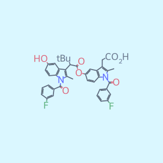 Cc1c(CC(=O)O)c2cc(OC(=O)C(c3c(C)n(C(=O)c4cccc(F)c4)c4ccc(O)cc34)C(C)(C)C)ccc2n1C(=O)c1cccc(F)c1